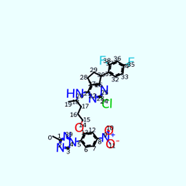 Cc1ncn(-c2ccc([N+](=O)[O-])cc2OCCCC(C)Nc2nc(Cl)nc3c2CCC3c2ccc(F)cc2F)n1